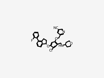 N#Cc1cncc(COc2cc(O[C@H]3CCc4c(-c5ccccc5F)cccc43)c(Cl)cc2CNC2CCOCC2)c1